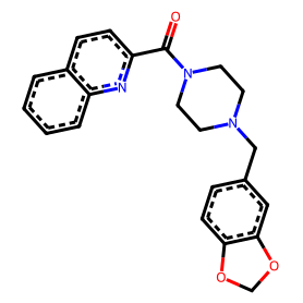 O=C(c1ccc2ccccc2n1)N1CCN(Cc2ccc3c(c2)OCO3)CC1